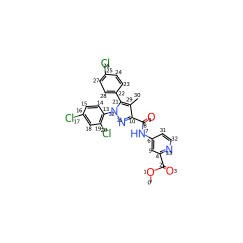 COC(=O)c1cc(NC(=O)c2nn(-c3ccc(Cl)cc3Cl)c(-c3ccc(Cl)cc3)c2C)ccn1